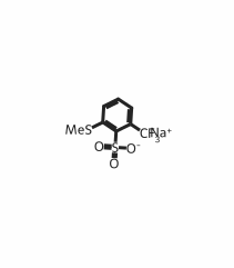 CSc1cccc(C(F)(F)F)c1S(=O)(=O)[O-].[Na+]